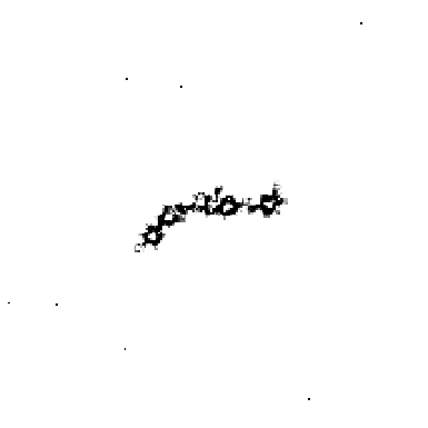 COC(=O)C(Cc1ccc(OCc2cccc(F)c2)cc1)NC(=O)c1cn2ccc(-c3ccc(Cl)cc3)cc2n1